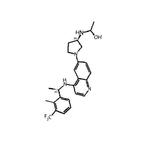 Cc1c([C@@H](C)Nc2ccnc3ccc(N4CC[C@@H](NC(C)O)C4)cc23)cccc1C(F)(F)F